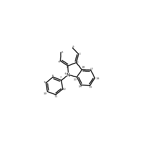 C/C=c1\c(=C/C)n(-c2ccccc2)c2ccccc12